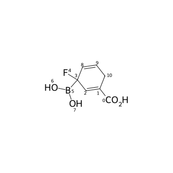 O=C(O)C1=CC(F)(B(O)O)C=CC1